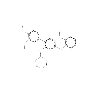 COc1ccccc1Nc1ncc(-c2ccc(OC)c(OC)c2)c(NC2CCNCC2)n1